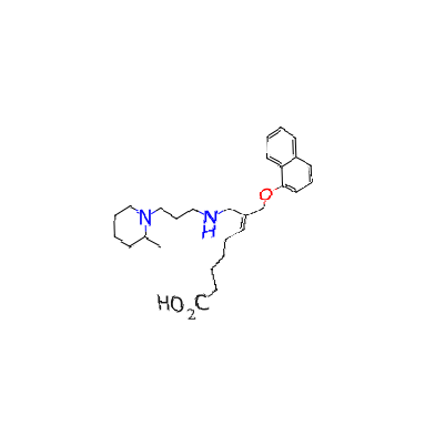 CC1CCCCN1CCCNC/C(=C\CCCCC(=O)O)COc1cccc2ccccc12